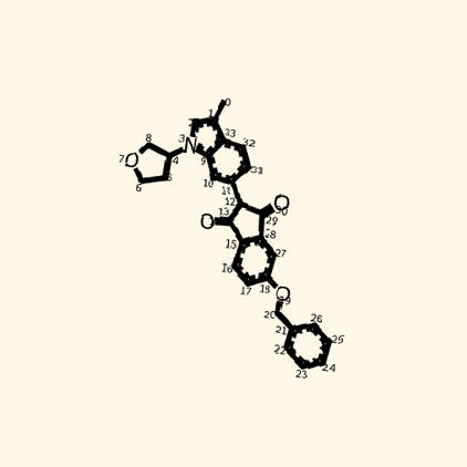 Cc1cn(C2CCOC2)c2cc(C3C(=O)c4ccc(OCc5ccccc5)cc4C3=O)ccc12